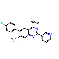 CNc1nc(-c2cccnc2)nc2cc(C)c(-c3ccc(F)cc3)cc12